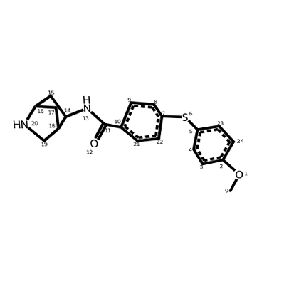 COc1ccc(Sc2ccc(C(=O)NC3CC4CC3CN4)cc2)cc1